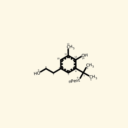 CCCCCC(C)(C)c1cc(CCO)cc(C)c1O